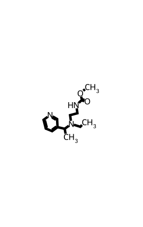 CCN(CCNC(=O)OC)C(C)c1cccnc1